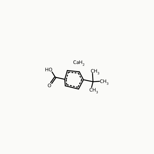 CC(C)(C)c1ccc(C(=O)O)cc1.[CaH2]